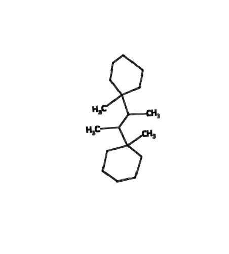 CC(C(C)C1(C)CCCCC1)C1(C)CCCCC1